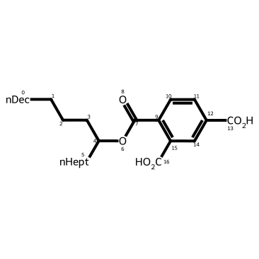 CCCCCCCCCCCCCC(CCCCCCC)OC(=O)c1ccc(C(=O)O)cc1C(=O)O